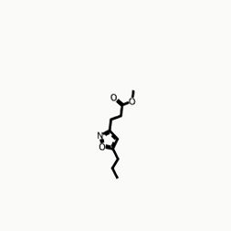 CCCc1cc(CCC(=O)OC)no1